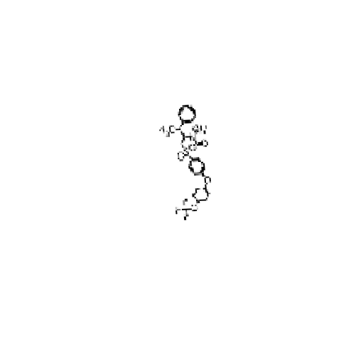 C[C@@H](c1ccccc1)C(CS(=O)(=O)c1ccc(Oc2ccc(OC(F)(F)F)cc2)cc1)N(O)C=O